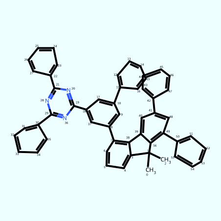 CC1(C)c2cccc(-c3cc(-c4ccccc4)cc(-c4nc(-c5ccccc5)nc(-c5ccccc5)n4)c3)c2-c2cc(-c3ccccc3)cc(-c3ccccc3)c21